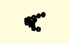 c1ccc(-c2ccc(-c3ccc(-c4ccc5sc6cccc(-c7nc(-c8ccccc8)nc(-c8cccc(-c9ccccc9)c8)n7)c6c5c4)cc3)cc2)cc1